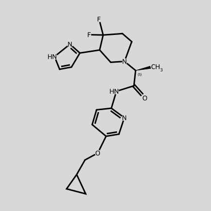 C[C@@H](C(=O)Nc1ccc(OCC2CC2)cn1)N1CCC(F)(F)C(c2cc[nH]n2)C1